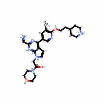 N=Cc1nc(-c2cnc(OCCC3CCNCC3)c(C(F)(F)F)c2)c2ccn(CC(=O)N3CCOCC3)c2n1